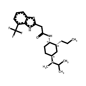 CCC[C@@H]1C[C@@H](N(C)C(C)C)CC[C@@H]1NC(=O)Cc1nc2cccc(C(F)(F)F)c2[nH]1